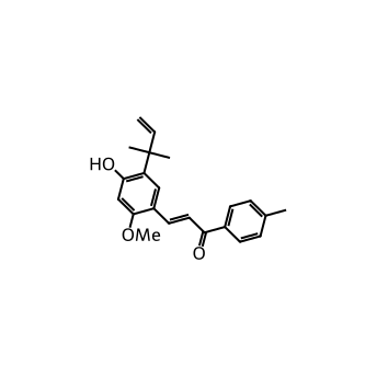 C=CC(C)(C)c1cc(/C=C/C(=O)c2ccc(C)cc2)c(OC)cc1O